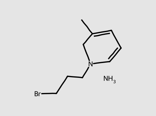 CC1=CC=CN(CCCBr)C1.N